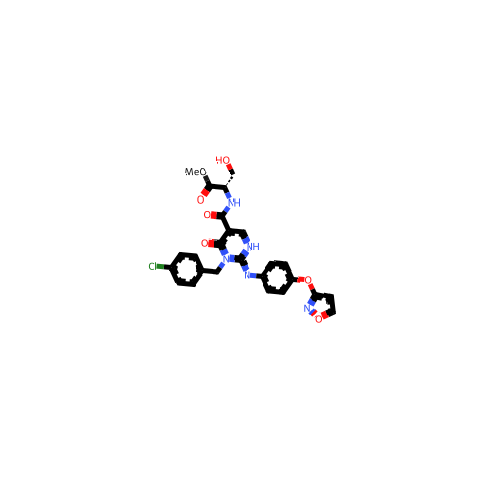 COC(=O)[C@H](CO)NC(=O)c1c[nH]/c(=N\c2ccc(Oc3ccon3)cc2)n(Cc2ccc(Cl)cc2)c1=O